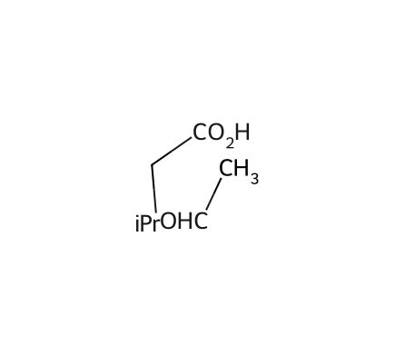 CC(C)CC(=O)O.CC=O